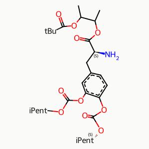 CCCC(C)OC(=O)Oc1cc(C[C@H](N)C(=O)OC(C)C(C)OC(=O)C(C)(C)C)ccc1OC(=O)O[C@@H](C)CCC